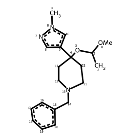 COC(C)OC1(c2cnn(C)c2)CCN(Cc2ccccc2)CC1